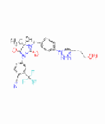 CC1(C)C(=O)N(c2ccc(C#N)c(C(F)(F)F)c2)C(=O)N1Cc1ccc(-n2cc(CCO)nn2)cc1